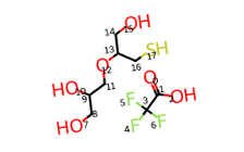 O=C(O)C(F)(F)F.OCC(O)COC(CO)CS